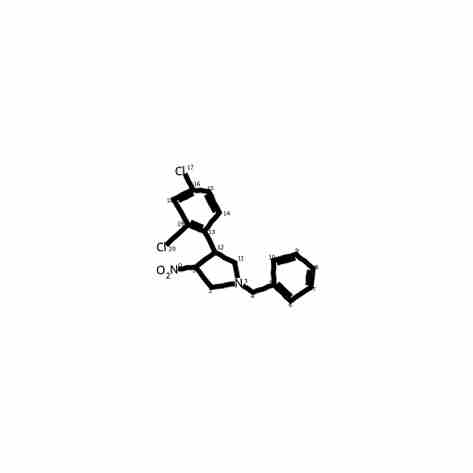 O=[N+]([O-])C1CN(Cc2ccccc2)CC1c1ccc(Cl)cc1Cl